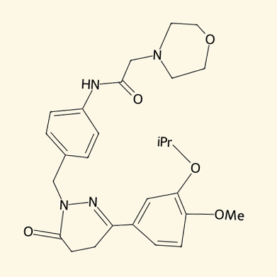 COc1ccc(C2=NN(Cc3ccc(NC(=O)CN4CCOCC4)cc3)C(=O)CC2)cc1OC(C)C